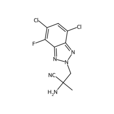 CC(N)(C#N)Cn1nc2c(Cl)cc(Cl)c(F)c2n1